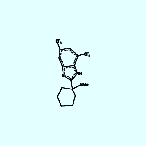 CNC1(c2nc3cc(C(F)(F)F)cc(C(F)(F)F)c3[nH]2)CCCCC1